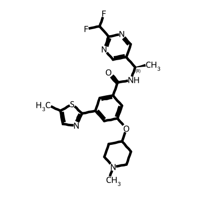 Cc1cnc(-c2cc(OC3CCN(C)CC3)cc(C(=O)N[C@H](C)c3cnc(C(F)F)nc3)c2)s1